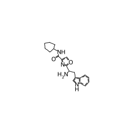 NC(Cc1c[nH]c2ccccc12)c1nc(C(=O)NC2CCCCC2)co1